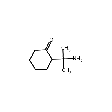 CC(C)(N)C1CCCCC1=O